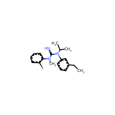 CCc1cccc(N(C(=N)N(C)c2ccccc2I)C(C)C)c1